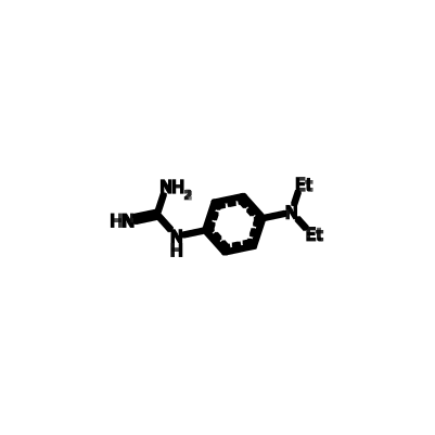 CCN(CC)c1ccc(NC(=N)N)cc1